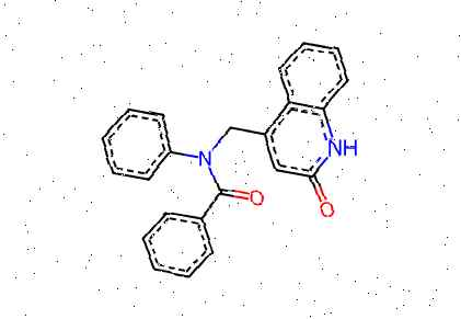 O=C(c1ccccc1)N(Cc1cc(=O)[nH]c2ccccc12)c1ccccc1